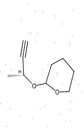 C#C[C@@H](C)OC1CCCCO1